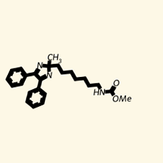 COC(=O)NCCCCCCCC1(C)N=C(c2ccccc2)C(c2ccccc2)=N1